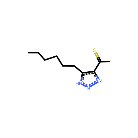 CCCCCCc1[nH]nnc1C(C)=S